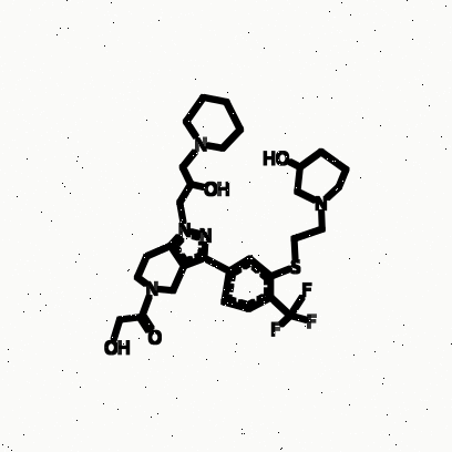 O=C(CO)N1CCc2c(c(-c3ccc(C(F)(F)F)c(SCCN4CCCC(O)C4)c3)nn2CC(O)CN2CCCCC2)C1